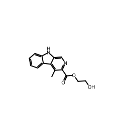 Cc1c(C(=O)OCCO)ncc2[nH]c3ccccc3c12